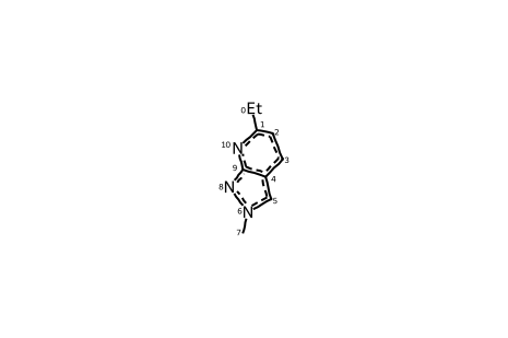 CCc1ccc2cn(C)nc2n1